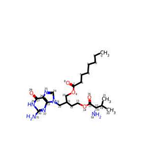 CCCCCCCC(=O)OCC(CCOC(=O)[C@@H](N)C(C)C)Cn1cnc2c(=O)[nH]c(N)nc21